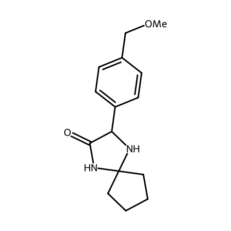 COCc1ccc(C2NC3(CCCC3)NC2=O)cc1